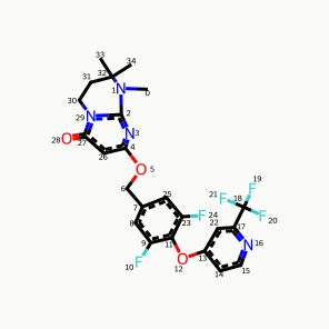 CN1c2nc(OCc3cc(F)c(Oc4ccnc(C(F)(F)F)c4)c(F)c3)cc(=O)n2CCC1(C)C